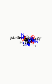 CCCCN1C(=O)[C@H](CC(C)C)NC(=O)C12CCN(C(c1ccc(S(=O)(=O)NCCCOC)cc1)c1c(C)n[nH]c1C)CC2